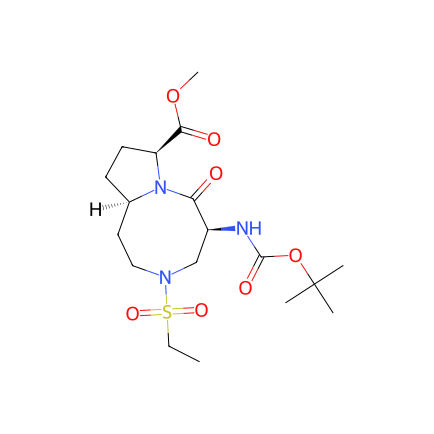 CCS(=O)(=O)N1CC[C@H]2CC[C@@H](C(=O)OC)N2C(=O)[C@@H](NC(=O)OC(C)(C)C)C1